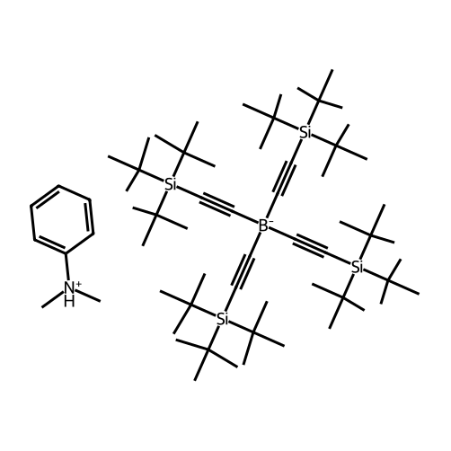 CC(C)(C)[Si](C#C[B-](C#C[Si](C(C)(C)C)(C(C)(C)C)C(C)(C)C)(C#C[Si](C(C)(C)C)(C(C)(C)C)C(C)(C)C)C#C[Si](C(C)(C)C)(C(C)(C)C)C(C)(C)C)(C(C)(C)C)C(C)(C)C.C[NH+](C)c1ccccc1